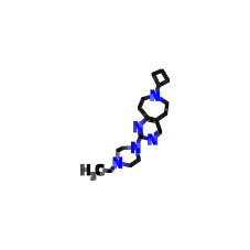 CCN1CCN(c2ncc3c(n2)CCN(C2CCC2)CC3)CC1